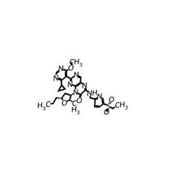 CCC[C@H]1C[C@@H](n2c(=O)c(NCc3ccc(S(=O)(=O)CC)cn3)nc3cnc(-c4c(OC)ncnc4C4CC4)nc32)[C@@H](C)O1